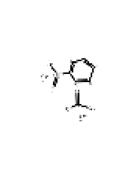 O=C([O-])[O-].O=[N+]([O-])c1ccccc1.[Cs+].[Cs+]